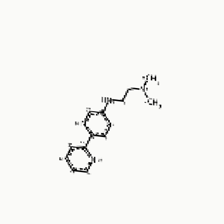 CN(C)CCNc1ccc(-c2ccccn2)nc1